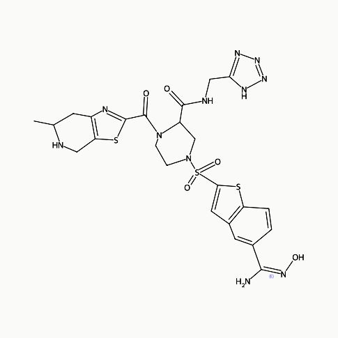 CC1Cc2nc(C(=O)N3CCN(S(=O)(=O)c4cc5cc(/C(N)=N\O)ccc5s4)CC3C(=O)NCc3nnn[nH]3)sc2CN1